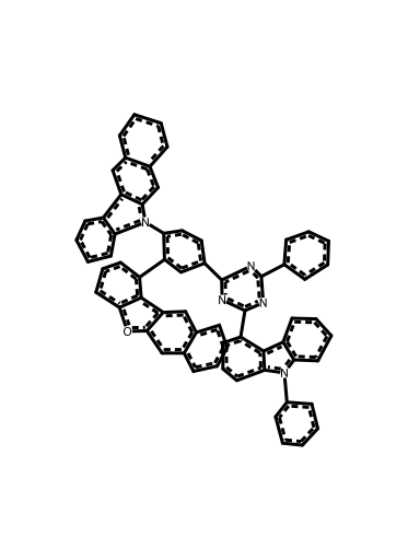 c1ccc(-c2nc(-c3ccc(-n4c5ccccc5c5cc6ccccc6cc54)c(-c4cccc5oc6cc7ccccc7cc6c45)c3)nc(-c3cccc4c3c3ccccc3n4-c3ccccc3)n2)cc1